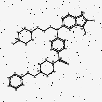 Cc1[nH]c2ccc(C(CCCN3CCN(C)CC3)c3ccc(C(=O)N4CCN(CCc5ccccc5)CC4)cc3)cc2c1C